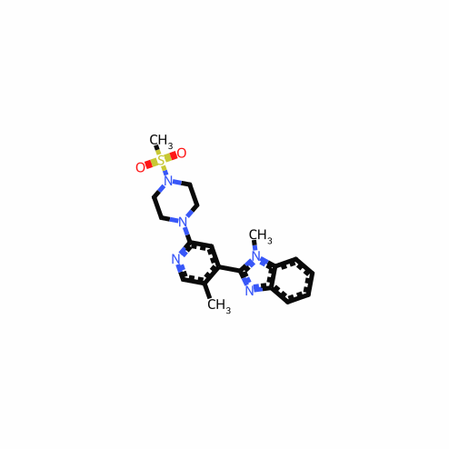 Cc1cnc(N2CCN(S(C)(=O)=O)CC2)cc1-c1nc2ccccc2n1C